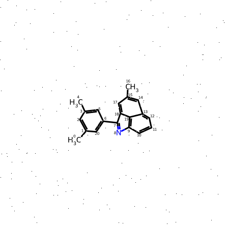 Cc1cc(C)cc(C2=Nc3cccc4cc(C)cc2c34)c1